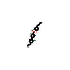 CCCCC1CCC(OC(=O)c2ccc(-c3ccc(CCC)cc3F)cc2)CC1